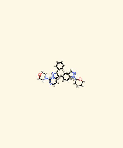 c1ccc(-c2nn3c(N4CCOCC4)nccc3c2-c2ccc3c(cnn3C3CCCCO3)c2)cc1